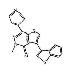 Cn1nc(-c2ccncc2)c2scc(-c3csc4ccccc34)c2c1=O